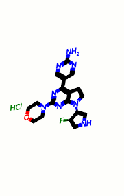 Cl.Nc1ncc(-c2nc(N3CCOCC3)nc3c2CCN3[C@H]2CNC[C@H]2F)cn1